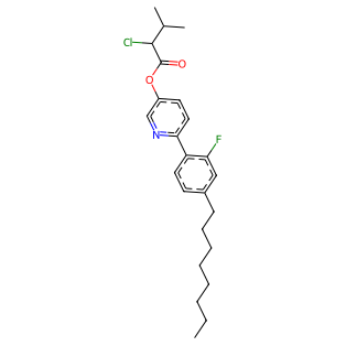 CCCCCCCCc1ccc(-c2ccc(OC(=O)C(Cl)C(C)C)cn2)c(F)c1